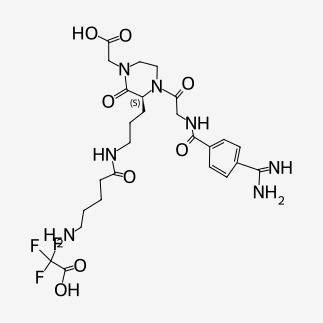 N=C(N)c1ccc(C(=O)NCC(=O)N2CCN(CC(=O)O)C(=O)[C@@H]2CCCNC(=O)CCCCN)cc1.O=C(O)C(F)(F)F